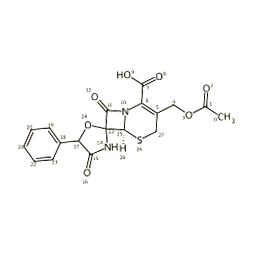 CC(=O)OCC1=C(C(=O)O)N2C(=O)C3(NC(=O)C(c4ccccc4)O3)[C@@H]2SC1